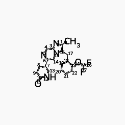 Cc1nc2cnc(-c3ccc(=O)[nH]c3)cn2c1Cc1ccccc1OC(F)F